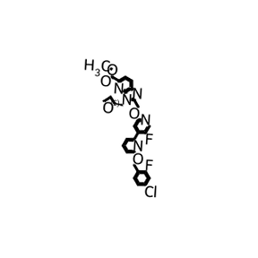 COC(=O)c1ccc2nc(COc3cc(-c4cccc(OCc5ccc(Cl)cc5F)n4)c(F)cn3)n(C[C@@H]3CCO3)c2n1